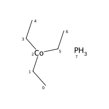 C[CH2][Co]([CH2]C)[CH2]C.P